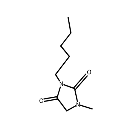 CCCCCN1C(=O)CN(C)C1=O